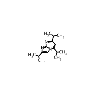 CC(C)c1cc(C(C)C)n2cc(C(C)C)nc2n1